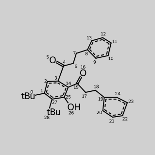 CC(C)(C)c1cc(C(=O)CCc2ccccc2)c(C(=O)CCc2ccccc2)c(O)c1C(C)(C)C